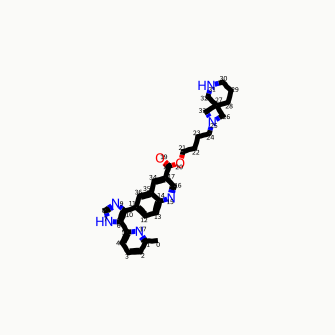 Cc1cccc(-c2[nH]cnc2-c2ccc3ncc(C(=O)OCCCCN4CC5(CCCNC5)C4)cc3c2)n1